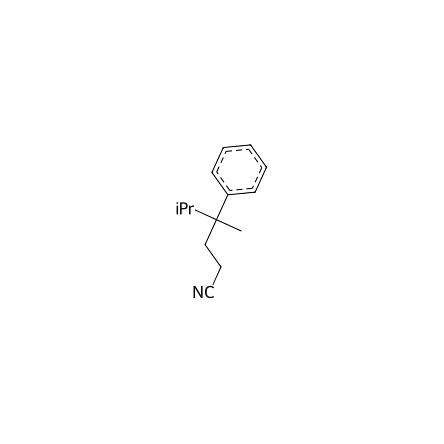 CC(C)C(C)(CCC#N)c1ccccc1